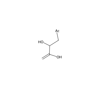 C=C(O)C(O)CC(C)=O